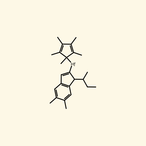 CCC(C)C1[C]([Hf][C]2(C)C(C)=C(C)C(C)=C2C)=Cc2cc(C)c(C)cc21